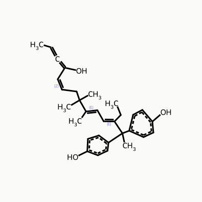 CC=C=C(O)/C=C\CC(C)(C)/C(C)=C/C=C(\CC)C(C)(c1ccc(O)cc1)c1ccc(O)cc1